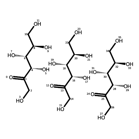 O=C(CO)[C@@H](O)[C@H](O)[C@H](O)CO.O=C(CO)[C@@H](O)[C@H](O)[C@H](O)CO.O=C(CO)[C@@H](O)[C@H](O)[C@H](O)CO